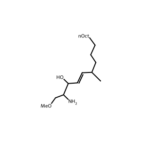 CCCCCCCCCCCC(C)C=CC(O)C(N)COC